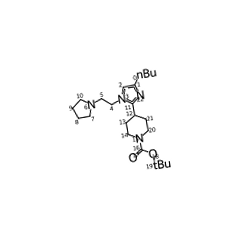 CCCCc1cn(CCN2CCCC2)c(C2CCN(C(=O)OC(C)(C)C)CC2)n1